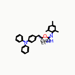 CCNC(=Nc1c(C)cc(C)cc1C)O/C(C=O)=C/c1ccc(N(c2ccccc2)c2ccccc2)cc1